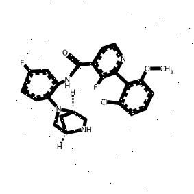 COc1cccc(Cl)c1-c1nccc(C(=O)Nc2cc(F)ccc2N2C[C@H]3C[C@@H]2CN3)c1F